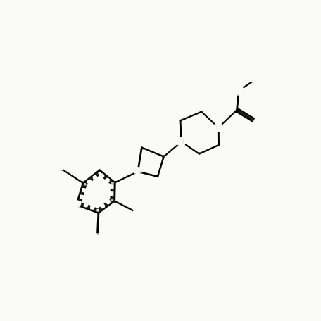 CC(C)(C)OC(=O)N1CCN(C2CN(c3cc(Cl)nc(C(F)(F)F)c3Cl)C2)CC1